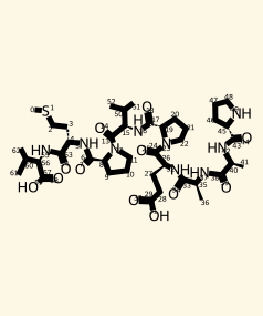 CSCC[C@H](NC(=O)[C@@H]1CCCN1C(=O)[C@@H](NC(=O)[C@@H]1CCCN1C(=O)[C@H](CCC(=O)O)NC(=O)[C@H](C)NC(=O)[C@H](C)NC(=O)[C@@H]1CCCN1)C(C)C)C(=O)N[C@H](C(=O)O)C(C)C